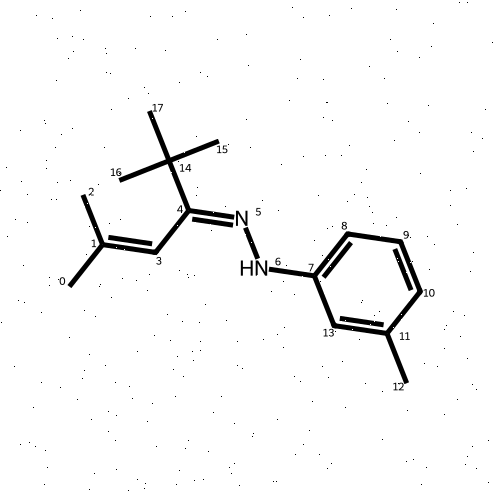 CC(C)=C/C(=N\Nc1cccc(C)c1)C(C)(C)C